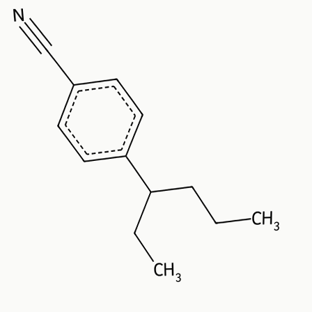 CCCC(CC)c1ccc(C#N)cc1